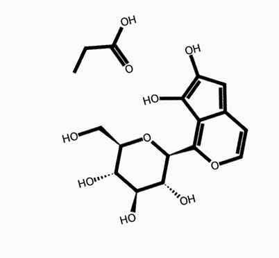 CCC(=O)O.OC[C@H]1O[C@@H](c2occc3cc(O)c(O)c2-3)[C@H](O)[C@@H](O)[C@@H]1O